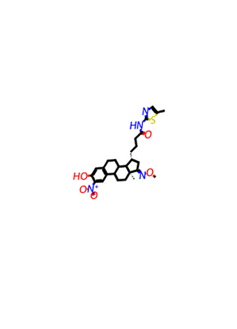 CO/N=C1\C[C@@H](CCCC(=O)Nc2ncc(C)s2)C2C3CCc4cc(O)c([N+](=O)[O-])cc4C3CC[C@]12C